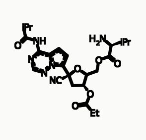 CCC(=O)O[C@H]1C[C@](C#N)(c2ccc3c(NC(=O)C(C)C)ncnn23)OC1COC(=O)[C@@H](N)C(C)C